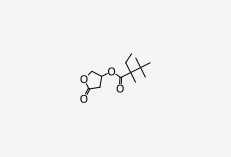 CCC(C)(C(=O)OC1COC(=O)C1)C(C)(C)C